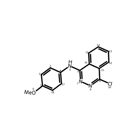 COc1ccc(Nc2nnc(Cl)c3ccccc23)cc1